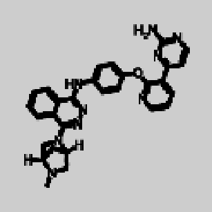 CN1C[C@@H]2C[C@H]1CN2c1nnc(Nc2ccc(Oc3ncccc3-c3ccnc(N)n3)cc2)c2ccccc12